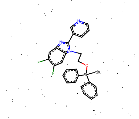 CC(C)(C)[Si](OCCn1c(-c2cccnc2)nc2cc(F)c(F)cc21)(c1ccccc1)c1ccccc1